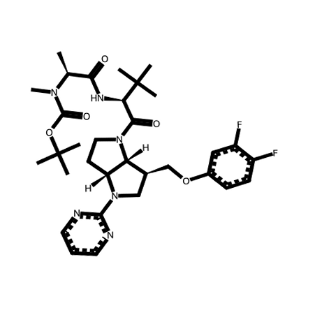 C[C@@H](C(=O)N[C@H](C(=O)N1CC[C@@H]2[C@H]1[C@@H](COc1ccc(F)c(F)c1)CN2c1ncccn1)C(C)(C)C)N(C)C(=O)OC(C)(C)C